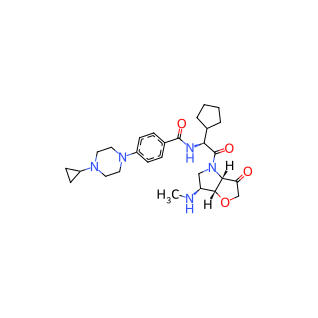 CN[C@H]1CN(C(=O)[C@@H](NC(=O)c2ccc(N3CCN(C4CC4)CC3)cc2)C2CCCC2)[C@@H]2C(=O)CO[C@H]12